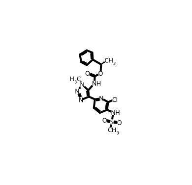 C[C@@H](OC(=O)Nc1c(-c2ccc(NS(C)(=O)=O)c(Cl)n2)nnn1C)c1ccccc1